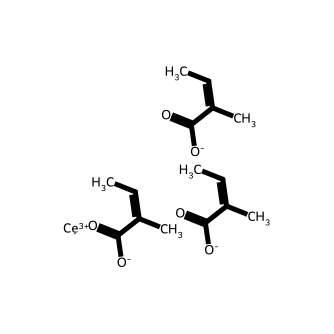 CC=C(C)C(=O)[O-].CC=C(C)C(=O)[O-].CC=C(C)C(=O)[O-].[Ce+3]